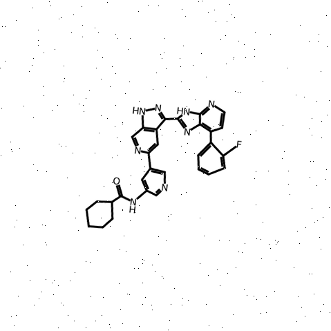 O=C(Nc1cncc(-c2cc3c(-c4nc5c(-c6ccccc6F)ccnc5[nH]4)n[nH]c3cn2)c1)C1CCCCC1